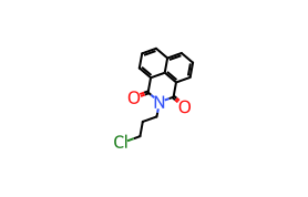 O=C1c2cccc3cccc(c23)C(=O)N1CCCCl